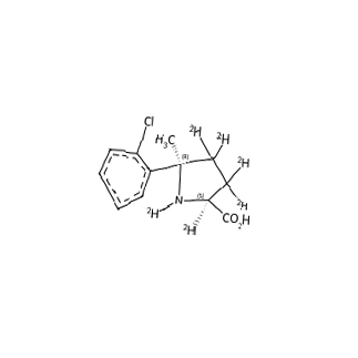 [2H]N1[C@]([2H])(C(=O)O)C([2H])([2H])C([2H])([2H])[C@]1(C)c1ccccc1Cl